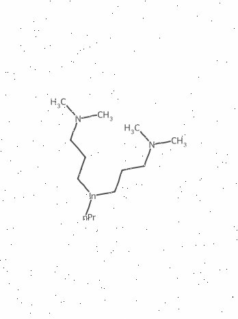 CC[CH2][In]([CH2]CCN(C)C)[CH2]CCN(C)C